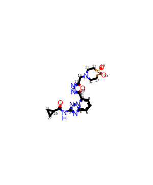 O=C(Nc1nc2cccc(-c3nnc(CN4CCS(=O)(=O)CC4)o3)n2n1)C1CC1